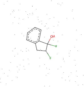 OC1(F)c2ccccc2CC1F